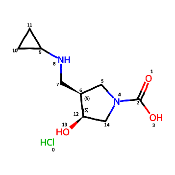 Cl.O=C(O)N1C[C@H](CNC2CC2)[C@H](O)C1